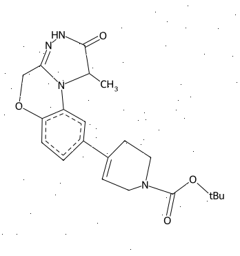 CC1C(=O)NN=C2COc3ccc(C4=CCN(C(=O)OC(C)(C)C)CC4)cc3N21